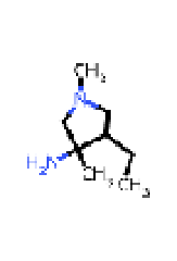 CCC1CN(C)CC1(C)N